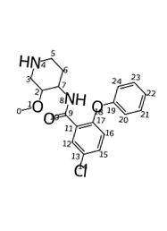 COC1CNCCC1NC(=O)c1cc(Cl)ccc1Oc1ccccc1